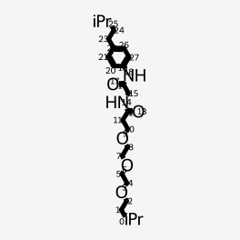 CC(C)CCOCCOCCOCCC(=O)NCC(=O)Nc1ccc(CCC(C)C)cc1